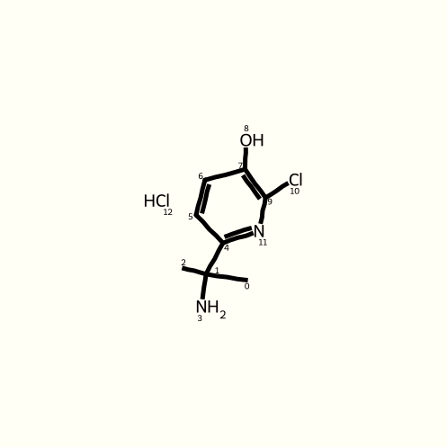 CC(C)(N)c1ccc(O)c(Cl)n1.Cl